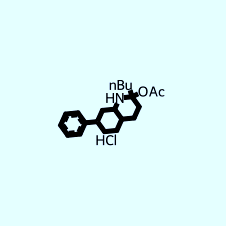 CCCCC1(OC(C)=O)CCC2CCC(c3ccccc3)CC2N1.Cl